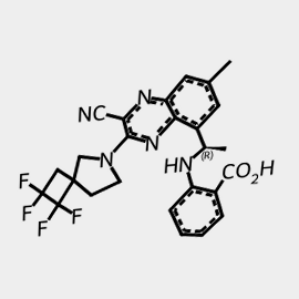 Cc1cc([C@@H](C)Nc2ccccc2C(=O)O)c2nc(N3CCC4(C3)CC(F)(F)C4(F)F)c(C#N)nc2c1